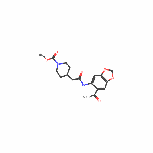 COC(=O)c1cc2c(cc1NC(=O)CC1CCN(C(=O)OC(C)(C)C)CC1)OCO2